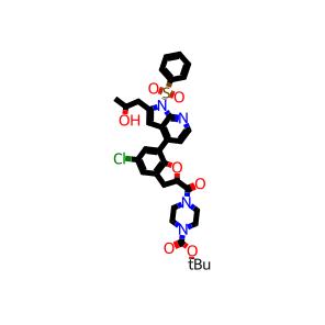 CC(O)Cc1cc2c(-c3cc(Cl)cc4c3OC(C(=O)N3CCN(C(=O)OC(C)(C)C)CC3)C4)ccnc2n1S(=O)(=O)c1ccccc1